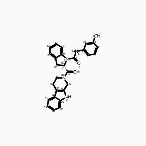 Cc1cccc(NC(=O)N2c3ccccc3C[C@H]2C(=O)N2CCc3c([nH]c4ccccc34)C2)c1